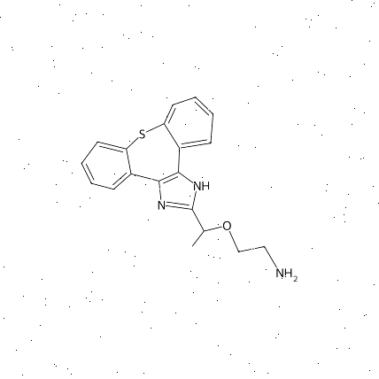 CC(OCCN)c1nc2c([nH]1)-c1ccccc1Sc1ccccc1-2